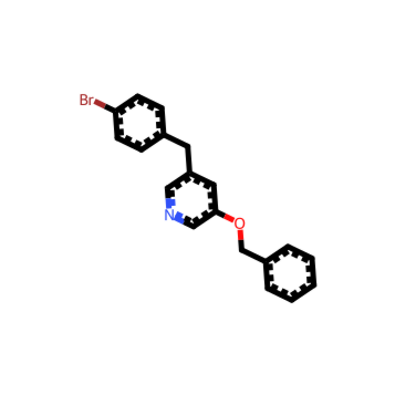 Brc1ccc(Cc2cncc(OCc3ccccc3)c2)cc1